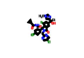 CCC(O)(c1cc(F)c2c(c1)C(=O)N(Cc1ncc(Cl)cn1)[C@@]2(OCNC(=O)C1CC1)c1ccc(Cl)cc1)c1cn(C)cn1